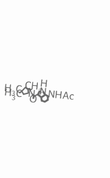 CC(=O)Nc1cccc2c(C(=O)N3CC4(C)CC(C)(C)CC34)c[nH]c12